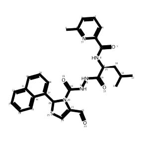 Cc1cccc(C(=O)N[C@@H](CC(C)C)C(=O)NNC(=O)N2C([C]=O)=CSC2c2cccc3ccccc23)n1